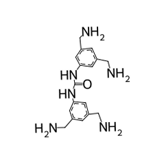 NCc1cc(CN)cc(NC(=O)Nc2cc(CN)cc(CN)c2)c1